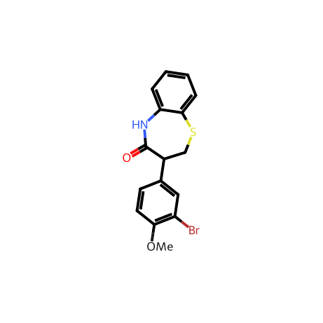 COc1ccc(C2CSc3ccccc3NC2=O)cc1Br